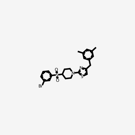 Cc1cc(C)cc(Cc2csc(N3CCC(S(=O)(=O)c4cccc(Br)c4)CC3)n2)c1